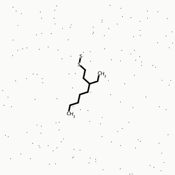 CCCCCC(CC)CCS[S]